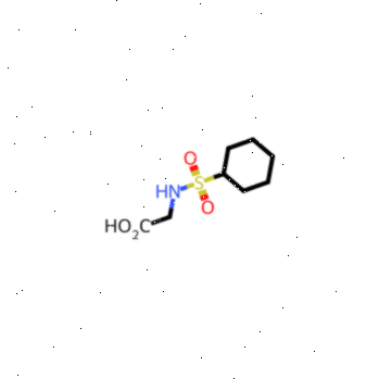 O=C(O)CNS(=O)(=O)C1CCCCC1